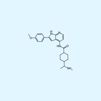 COc1ccc(-c2cc3c(NC(=O)C4CCC(C(C)N)CC4)ccnc3[nH]2)cc1